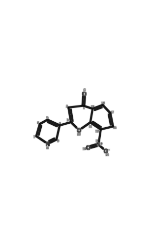 O=c1cc(-c2cccnc2)oc2c([N+](=O)[O-])cccc12